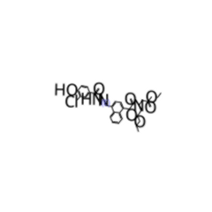 CCOC(=O)CN(CC(=O)OCC)C(=O)Cc1ccc(/C=N/NC(=O)c2ccc(O)c(Cl)c2)c2ccccc12